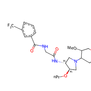 CCCO[C@@H]1CN(C2CCOCC2OC)C[C@H]1NC(=O)CNC(=O)c1cccc(C(F)(F)F)c1